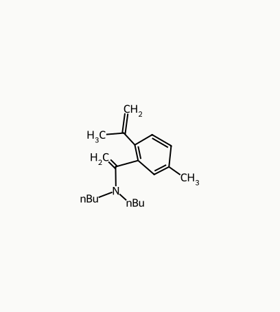 C=C(C)c1ccc(C)cc1C(=C)N(CCCC)CCCC